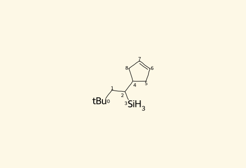 CC(C)(C)CC([SiH3])C1CC=CC1